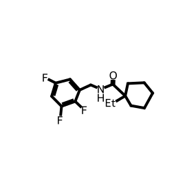 CCC1(C(=O)NCc2cc(F)cc(F)c2F)CCCCC1